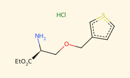 CCOC(=O)[C@@H](N)COCc1ccsc1.Cl